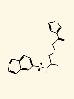 CC(CNCC(=O)c1ccsc1)NS(=O)(=O)c1ccc2cnccc2c1.Cl.Cl